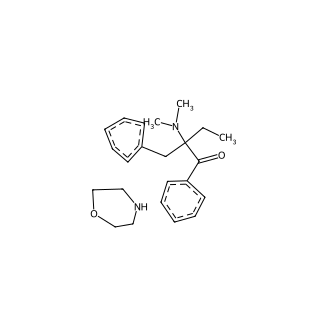 C1COCCN1.CCC(Cc1ccccc1)(C(=O)c1ccccc1)N(C)C